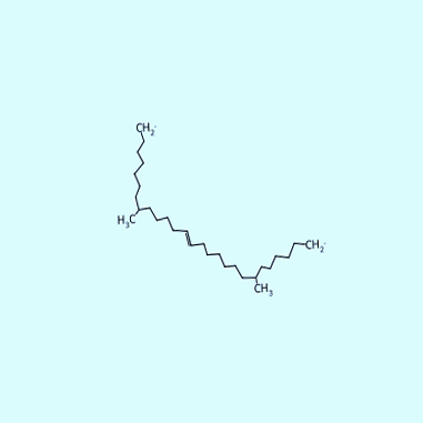 [CH2]CCCCCCC(C)CCCCC=CCCCCCCC(C)CCCCC[CH2]